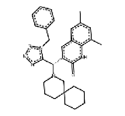 Cc1cc(C)c2[nH]c(=O)c([C@@H](c3nnnn3Cc3ccccc3)N3CCCC4(CCCCC4)C3)cc2c1